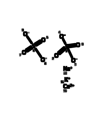 O=S(=O)([O-])[O-].O=S(=O)([O-])[O-].[Ca+2].[K+].[Na+]